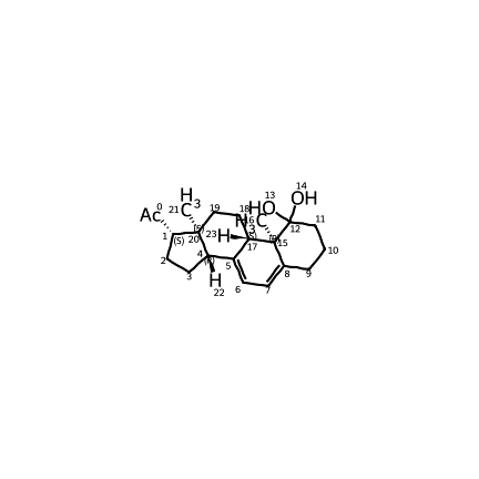 CC(=O)[C@H]1CC[C@H]2C3=CC=C4CCCC(O)(O)[C@]4(C)[C@H]3CC[C@]12C